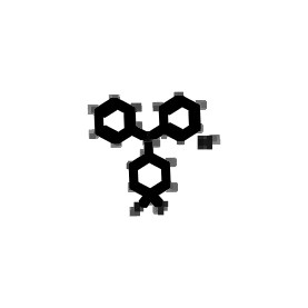 FC1(F)CCC(P(c2ccccc2)c2ccccc2)CC1.I